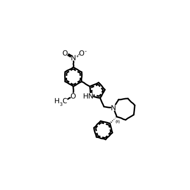 COc1ccc([N+](=O)[O-])cc1-c1ccc(CN2CCCCC[C@@H]2c2ccccc2)[nH]1